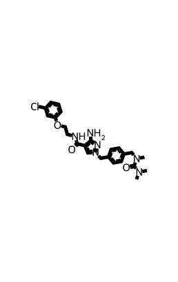 CN(C)C(=O)N(C)Cc1ccc(Cn2cc(C(=O)NCCOc3cccc(Cl)c3)c(N)n2)cc1